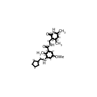 COc1cc(NCC2CCCC2)c(C)c(C(=O)NCc2c(C)cc(C)[nH]c2=O)c1